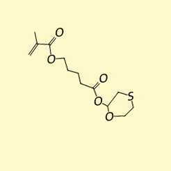 C=C(C)C(=O)OCCCCC(=O)OC1CSCCO1